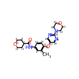 Cc1cc(NC(=O)C2CCOCC2)ccc1Oc1cnc(N2CCOCC2)nc1